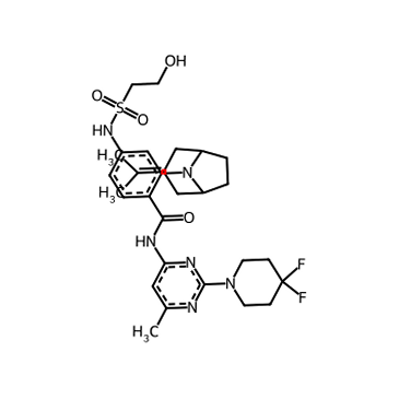 CC(C)=C1CC2CCC(C1)N2c1cc(NS(=O)(=O)CCO)ccc1C(=O)Nc1cc(C)nc(N2CCC(F)(F)CC2)n1